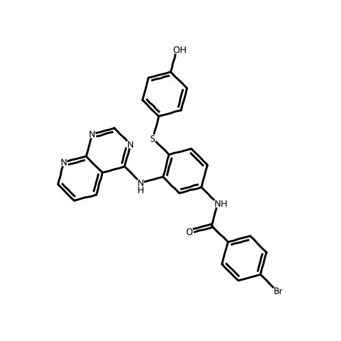 O=C(Nc1ccc(Sc2ccc(O)cc2)c(Nc2ncnc3ncccc23)c1)c1ccc(Br)cc1